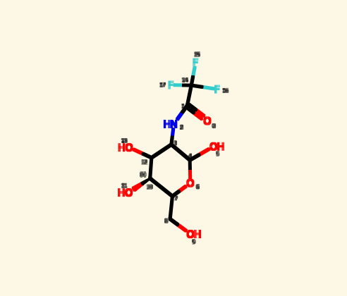 O=C(NC1C(O)OC(CO)[C@@H](O)C1O)C(F)(F)F